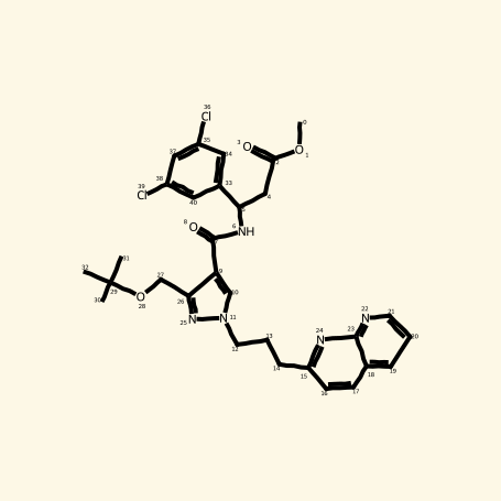 COC(=O)CC(NC(=O)c1cn(CCCc2ccc3cccnc3n2)nc1COC(C)(C)C)c1cc(Cl)cc(Cl)c1